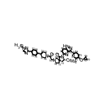 COc1nc(-c2n[nH]c3ccc(N4CC[C@]5(CCN(CC(=O)N6CC=C(c7ccc(-c8ncn(C)n8)cc7)CC6)C5)C4=O)nc23)ccc1OC1CC1